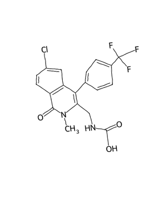 Cn1c(CNC(=O)O)c(-c2ccc(C(F)(F)F)cc2)c2cc(Cl)ccc2c1=O